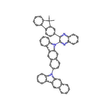 CC1(C)c2ccccc2-c2ccc(-c3nc4ccccc4nc3-n3c4ccccc4c4cc5cc(-n6c7ccccc7c7cc8ccccc8cc76)ccc5cc43)cc21